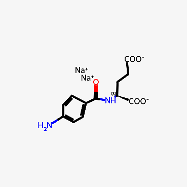 Nc1ccc(C(=O)N[C@@H](CCC(=O)[O-])C(=O)[O-])cc1.[Na+].[Na+]